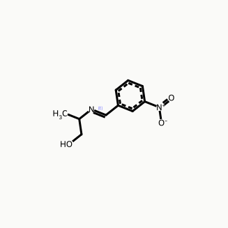 CC(CO)/N=C/c1cccc([N+](=O)[O-])c1